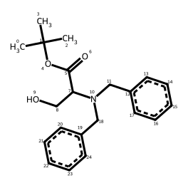 CC(C)(C)OC(=O)C(CO)N(Cc1ccccc1)Cc1ccccc1